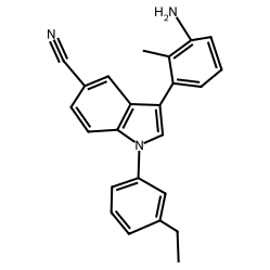 CCc1cccc(-n2cc(-c3cccc(N)c3C)c3cc(C#N)ccc32)c1